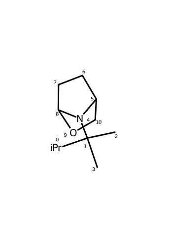 CC(C)C(C)(C)N1C2CCC1OC2